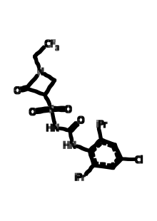 CC(C)c1cc(Cl)cc(C(C)C)c1NC(=O)NS(=O)(=O)C1CN(CC(F)(F)F)C1=O